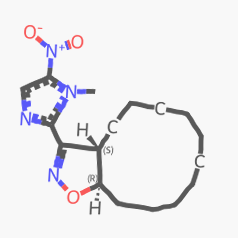 Cn1c([N+](=O)[O-])cnc1C1=NO[C@@H]2CCCCCCCCCC[C@@H]12